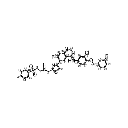 O=S(=O)(CCNCc1nc(-c2cc3c(Nc4ccc(OCc5cccc(F)c5)c(Cl)c4)ncnc3cc2F)cs1)c1ccccc1